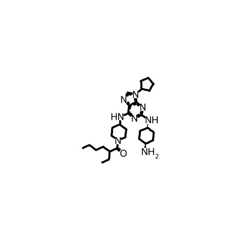 CCCCC(CC)C(=O)N1CCC(Nc2nc(N[C@H]3CC[C@H](N)CC3)nc3c2ncn3C2CCCC2)CC1